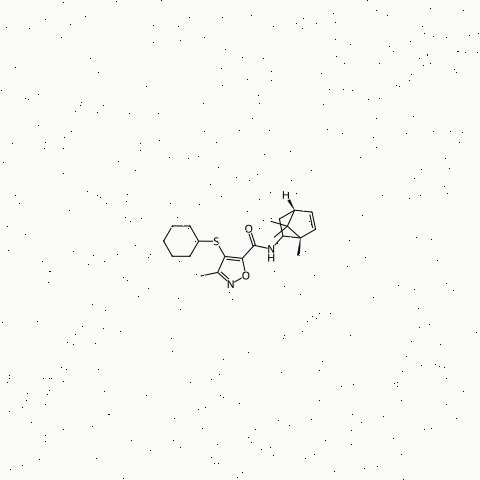 Cc1noc(C(=O)NC2C[C@@H]3C=C[C@@]2(C)C3(C)C)c1SC1CCCCC1